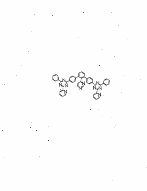 c1ccc(-c2nc(-c3ccc(-c4cccc(-c5ccc(-c6nc(-c7ccccc7)nc(-c7ccccn7)n6)cc5)c4-c4ccncn4)cc3)nc(-c3ccccn3)n2)cc1